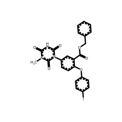 Cn1c(=O)[nH]c(=O)n(-c2ccc(Oc3ccc(I)cc3)c(C(=O)OCc3ccccc3)c2)c1=O